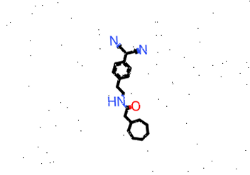 N#CC(C#N)c1ccc(CCNC(=O)CC2CCCCCC2)cc1